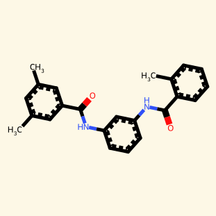 Cc1cc(C)cc(C(=O)Nc2cccc(NC(=O)c3ccccc3C)c2)c1